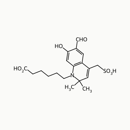 CC1(C)C=C(CS(=O)(=O)O)c2cc(C=O)c(O)cc2N1CCCCCC(=O)O